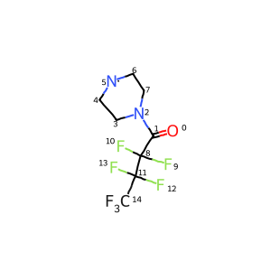 O=C(N1CC[N]CC1)C(F)(F)C(F)(F)C(F)(F)F